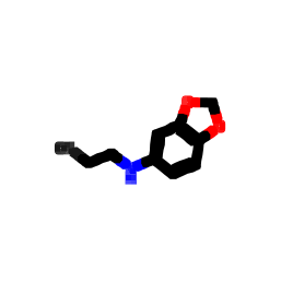 O=NCCNc1ccc2c(c1)OCO2